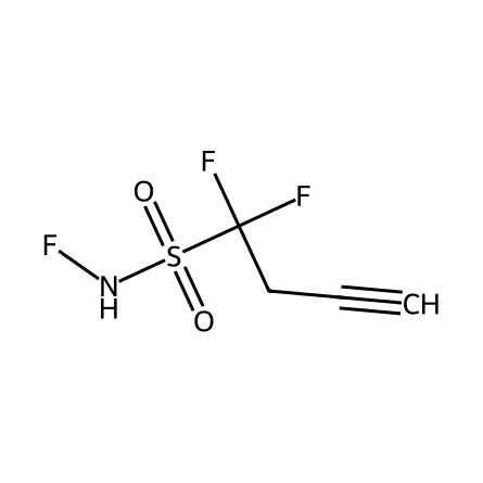 C#CCC(F)(F)S(=O)(=O)NF